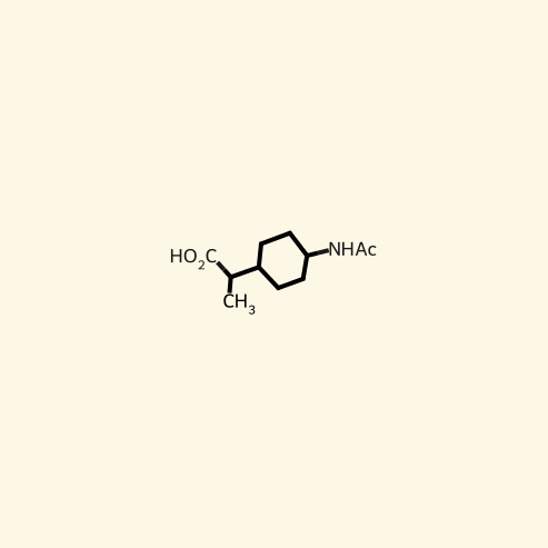 CC(=O)NC1CCC(C(C)C(=O)O)CC1